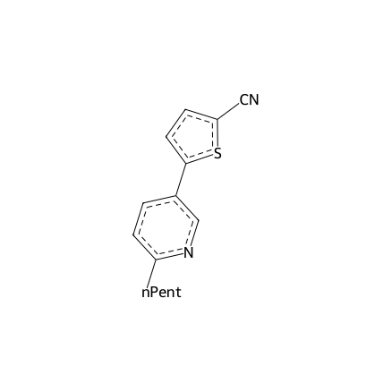 CCCCCc1ccc(-c2ccc(C#N)s2)cn1